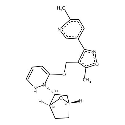 Cc1ccc(-c2noc(C)c2COC2=CC=CNN2[C@@H]2C[C@@H]3CC[C@@H]2O3)cn1